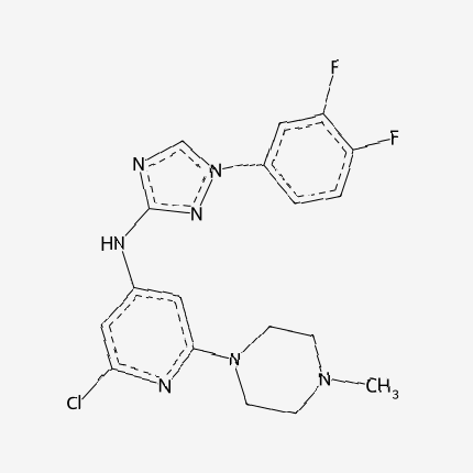 CN1CCN(c2cc(Nc3ncn(-c4ccc(F)c(F)c4)n3)cc(Cl)n2)CC1